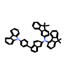 CC1(C)c2ccccc2-c2cc(N(c3ccc4c(-c5ccc(-n6c7ccccc7c7ccccc76)cc5)cccc4c3)c3cccc4c3-c3ccccc3C4(C)C)ccc21